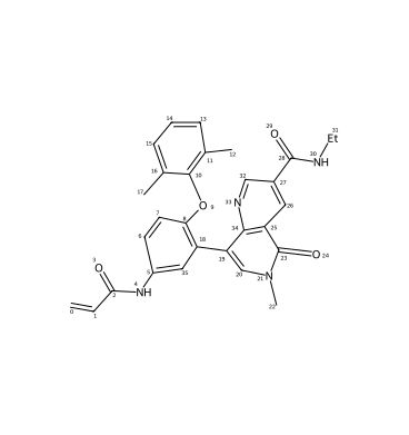 C=CC(=O)Nc1ccc(Oc2c(C)cccc2C)c(-c2cn(C)c(=O)c3cc(C(=O)NCC)cnc23)c1